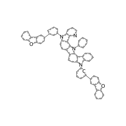 c1ccc(-n2c3c(ccc4c3c3ccccc3n4-c3cccc(-c4ccc5oc6ccccc6c5c4)c3)c3ccc4c(c5ncccc5n4-c4cccc(-c5ccc6oc7ccccc7c6c5)c4)c32)cc1